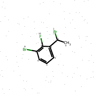 CC(Br)c1cccc(Br)c1F